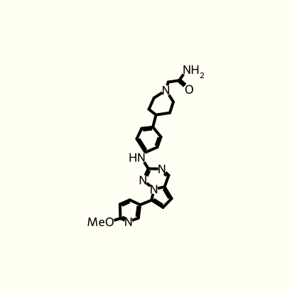 COc1ccc(-c2ccc3cnc(Nc4ccc(C5CCN(CC(N)=O)CC5)cc4)nn23)cn1